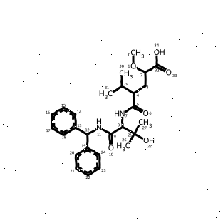 COC(CC(C(=O)NC(C(=O)NC(c1ccccc1)c1ccccc1)C(C)(C)O)C(C)C)C(=O)O